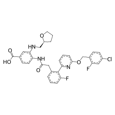 O=C(Cc1cccc(F)c1-c1cccc(OCc2ccc(Cl)cc2F)n1)Nc1ccc(C(=O)O)cc1NC[C@@H]1CCCO1